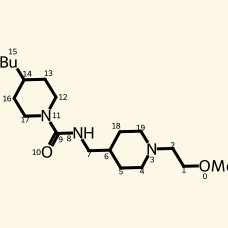 COCCN1CCC(CNC(=O)N2CCC(C(C)(C)C)CC2)CC1